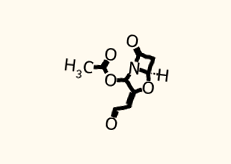 CC(=O)OC1/C(=C\C=O)O[C@@H]2CC(=O)N12